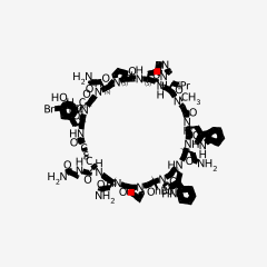 CCCC[C@H]1C(=O)N2CCC[C@@H]2C(=O)N[C@@H](CCN)C(=O)N[C@H](C(=O)NCC(N)=O)CSCC(=O)N[C@@H](Cc2ccc(O)c(Br)c2)C(=O)N(C)[C@@H](C)C(=O)N[C@@H](CC(N)=O)C(=O)N2CCC[C@H]2C(=O)N[C@@H](Cc2cnc[nH]2)C(=O)N[C@@H](CC(C)C)C(=O)N(C)CC(=O)N[C@@H](Cc2c[nH]c3ccccc23)C(=O)N[C@@H](CCN)C(=O)N[C@@H](Cc2c[nH]c3ccccc23)C(=O)N1C